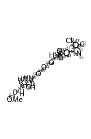 COCCOCCNC(=O)C(O)C(O)C(=O)NCCOCCOCCOCCNS(=O)(=O)c1ccc(C2CN(C)Cc3c(Cl)cc(Cl)cc32)cc1